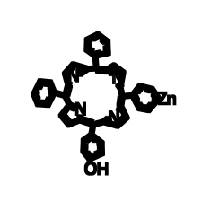 Oc1ccc(C2=C3C=CC(=N3)C(c3ccccc3)=C3C=CC(=N3)C(c3ccccc3)=C3C=CC(=N3)C(c3ccccc3)=C3C=CC2=N3)cc1.[Zn]